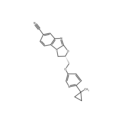 CC1(c2ccc(OC[C@@H]3Cn4c(nc5cc(C#N)ccc54)O3)cn2)CC1